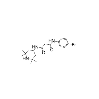 CC1(C)CC(NC(=O)CC(=O)Nc2ccc(Br)cc2)CC(C)(C)N1